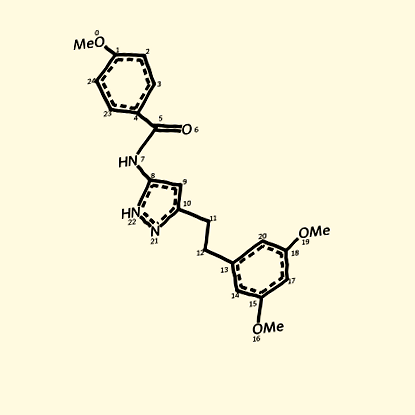 COc1ccc(C(=O)Nc2cc(CCc3cc(OC)cc(OC)c3)n[nH]2)cc1